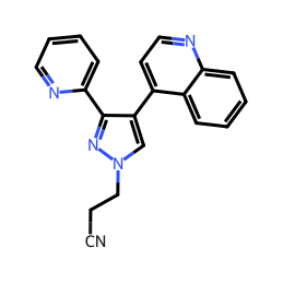 N#CCCn1cc(-c2ccnc3ccccc23)c(-c2ccccn2)n1